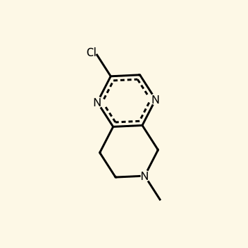 CN1CCc2nc(Cl)cnc2C1